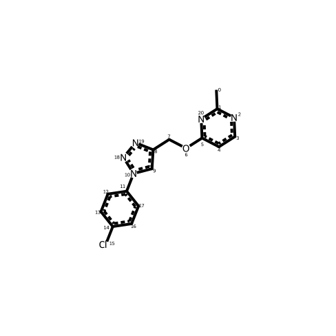 Cc1nccc(OCc2cn(-c3ccc(Cl)cc3)nn2)n1